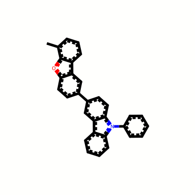 Cc1cccc2c1oc1ccc(-c3ccc4c(c3)c3ccccc3n4-c3ccccc3)cc12